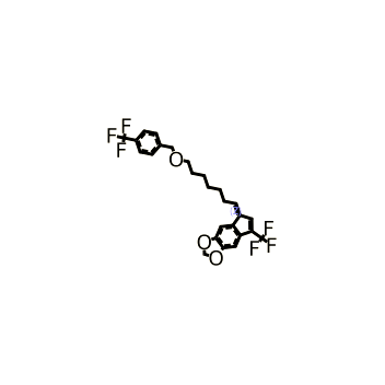 FC(F)(F)C1=C/C(=C/CCCCCCOCc2ccc(C(F)(F)F)cc2)c2cc3c(cc21)OCO3